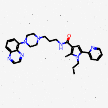 CCCn1c(-c2ccccn2)cc(C(=O)NCCCN2CCN(c3cccc4nccnc34)CC2)c1C